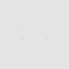 O=C(O)CCCCCC[C@@H]1COC[C@@H]1CO